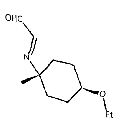 CCO[C@H]1CC[C@](C)(N=CC=O)CC1